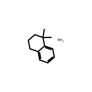 CC1(C)CCCc2ccccc21.N